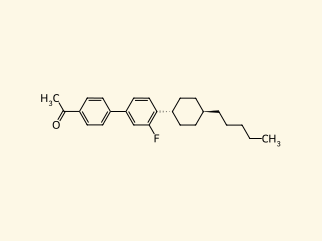 CCCCC[C@H]1CC[C@H](c2ccc(-c3ccc(C(C)=O)cc3)cc2F)CC1